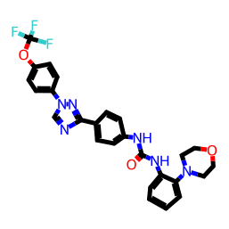 O=C(Nc1ccc(-c2ncn(-c3ccc(OC(F)(F)F)cc3)n2)cc1)Nc1ccccc1N1CCOCC1